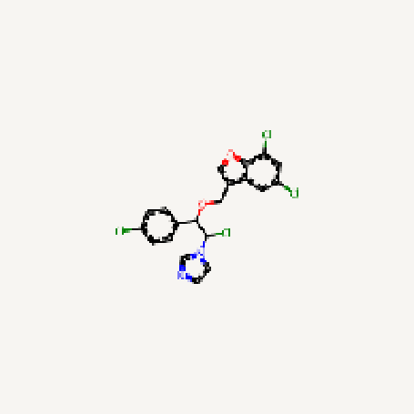 Clc1ccc(C(OCc2coc3c(Cl)cc(Cl)cc23)C(Cl)n2ccnc2)cc1